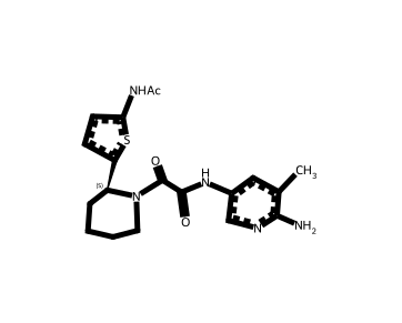 CC(=O)Nc1ccc([C@@H]2CCCCN2C(=O)C(=O)Nc2cnc(N)c(C)c2)s1